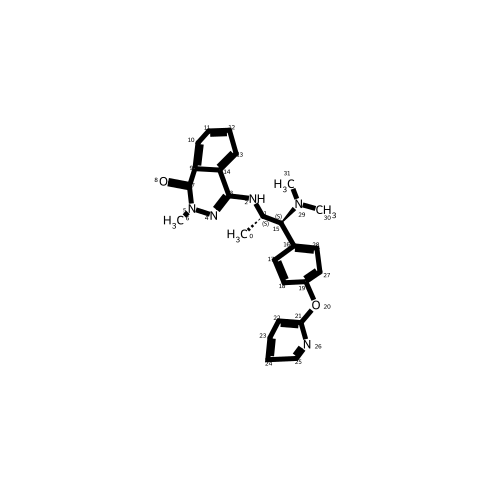 C[C@H](Nc1nn(C)c(=O)c2ccccc12)[C@H](c1ccc(Oc2ccccn2)cc1)N(C)C